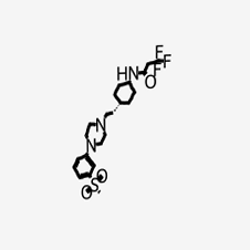 CS(=O)(=O)c1cccc(N2CCN(CC[C@H]3CC[C@H](NC(=O)CC(F)(F)F)CC3)CC2)c1